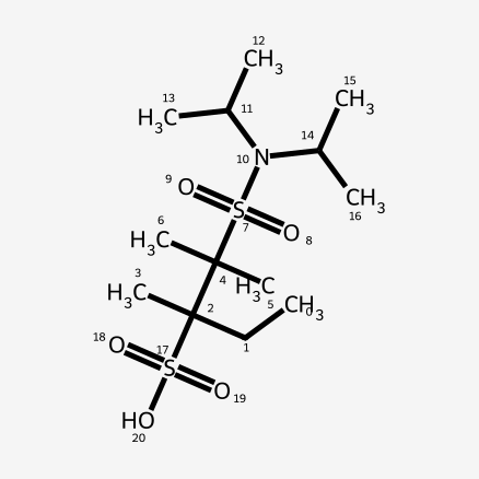 CCC(C)(C(C)(C)S(=O)(=O)N(C(C)C)C(C)C)S(=O)(=O)O